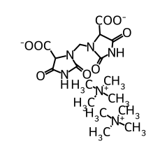 C[N+](C)(C)C.C[N+](C)(C)C.O=C([O-])C1C(=O)NC(=O)N1CN1C(=O)NC(=O)C1C(=O)[O-]